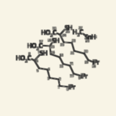 CC(C)CCCCCC(S)C(=O)O.CC(C)CCCCCC(S)C(=O)O.CC(C)CCCCCC(S)C(=O)O.[CH3][SnH]